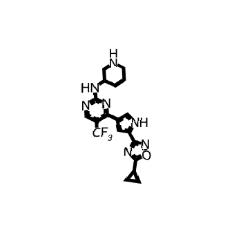 FC(F)(F)c1cnc(NC2CCCNC2)nc1-c1c[nH]c(-c2noc(C3CC3)n2)c1